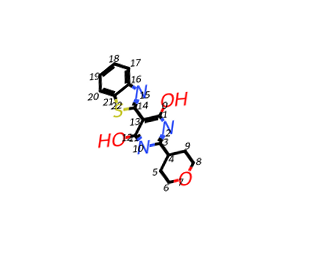 Oc1nc(C2CCOCC2)nc(O)c1-c1nc2ccccc2s1